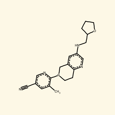 Cc1cc(C#N)cnc1N1CCc2ncc(NCC3CCCO3)cc2C1